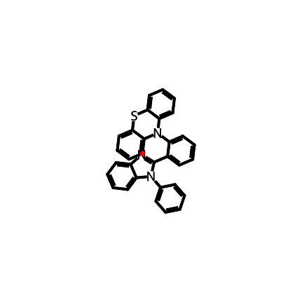 c1ccc(-n2c(-c3ccccc3N3c4ccccc4Sc4ccccc43)nc3ccccc32)cc1